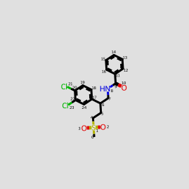 CS(=O)(=O)CCC(CNC(=O)c1ccccc1)c1ccc(Cl)c(Cl)c1